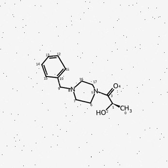 C[C@@H](O)C(=O)N1CCN(Cc2ccccc2)CC1